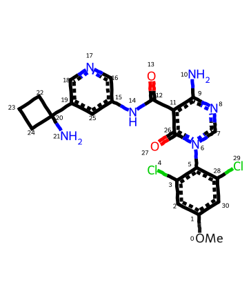 COc1cc(Cl)c(-n2cnc(N)c(C(=O)Nc3cncc(C4(N)CCC4)c3)c2=O)c(Cl)c1